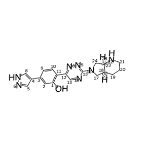 Oc1cc(-c2cn[nH]c2)ccc1-c1cnc(N2C[C@@H]3CCCN[C@@H]3C2)nn1